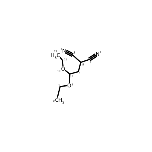 CCOC(CC(C#N)C#N)OCC